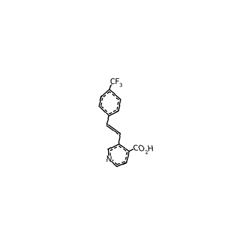 O=C(O)c1ccncc1C=Cc1ccc(C(F)(F)F)cc1